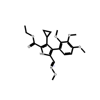 CCOC(=O)c1[nH]c(/C=N/OC)c(-c2ccc(OC)c(OC)c2OC)c1C1CC1